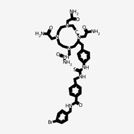 NC(=O)CN1CCN(CC(N)=O)CCN(CC(N)=O)C(Cc2ccc(NC(=S)NCc3ccc(C(=O)NCc4ccc(Br)cc4)cc3)cc2)CN(C[PH](N)=O)CC1